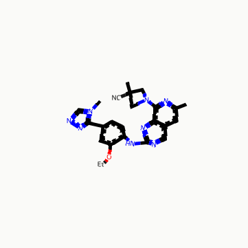 CCOc1cc(-c2nncn2C)ccc1Nc1ncc2cc(C)nc(N3CC(C)(C#N)C3)c2n1